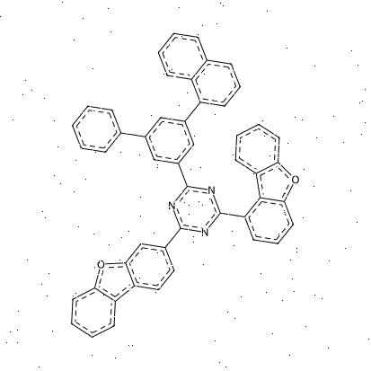 c1ccc(-c2cc(-c3nc(-c4ccc5c(c4)oc4ccccc45)nc(-c4cccc5oc6ccccc6c45)n3)cc(-c3cccc4ccccc34)c2)cc1